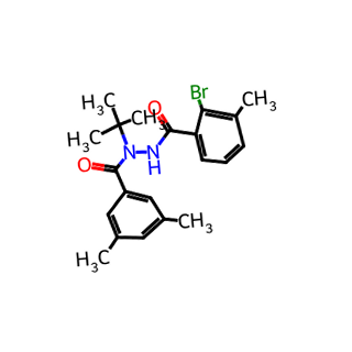 Cc1cc(C)cc(C(=O)N(NC(=O)c2cccc(C)c2Br)C(C)(C)C)c1